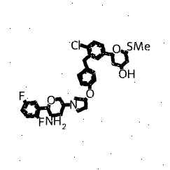 CSC1CC(O)CC(c2ccc(Cl)c(Cc3ccc(OC4CCN(C5COC(c6cc(F)ccc6F)C(N)C5)C4)cc3)c2)O1